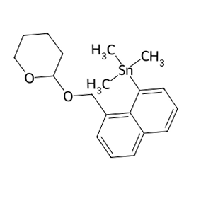 [CH3][Sn]([CH3])([CH3])[c]1cccc2cccc(COC3CCCCO3)c12